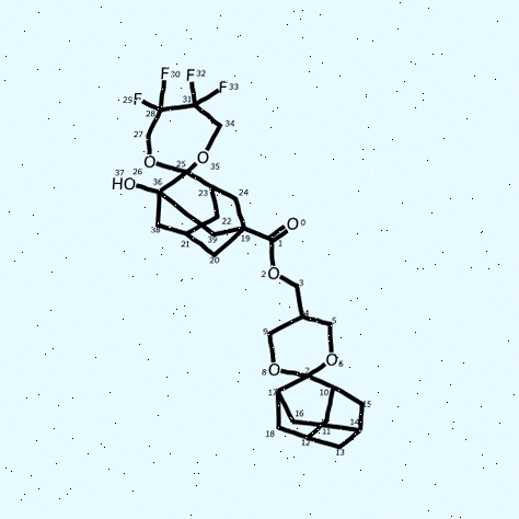 O=C(OCC1COC2(OC1)C1CC3CC(C1)CC2C3)C12CC3CC(C1)C1(OCC(F)(F)C(F)(F)CO1)C(O)(C3)C2